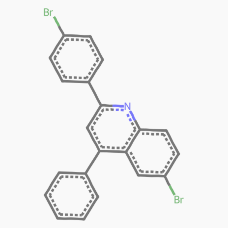 Brc1ccc(-c2cc(-c3ccccc3)c3cc(Br)ccc3n2)cc1